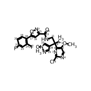 COc1cnc(Cl)nc1C(C)(CNC(=O)c1cc(-c2ccc(F)cc2F)on1)c1cnn(C)c1